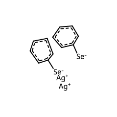 [Ag+].[Ag+].[Se-]c1ccccc1.[Se-]c1ccccc1